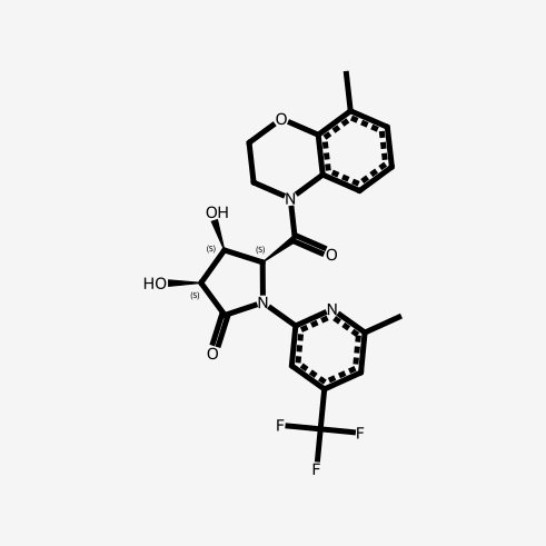 Cc1cc(C(F)(F)F)cc(N2C(=O)[C@@H](O)[C@@H](O)[C@H]2C(=O)N2CCOc3c(C)cccc32)n1